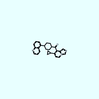 O=C(c1c(C2CC2)ccn2cncc12)C1CCC(c2cccc3ncccc23)CC1